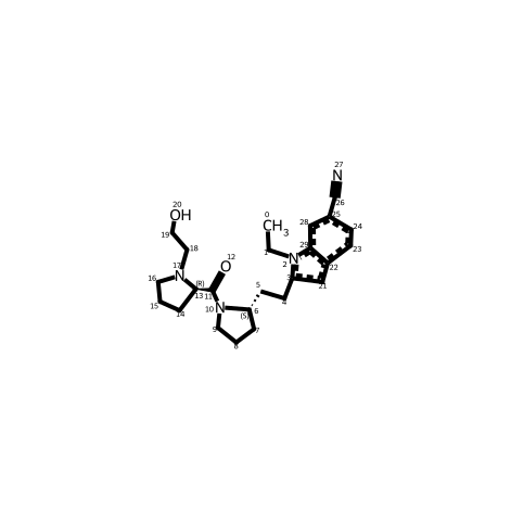 CCn1c(CC[C@@H]2CCCN2C(=O)[C@H]2CCCN2CCO)cc2ccc(C#N)cc21